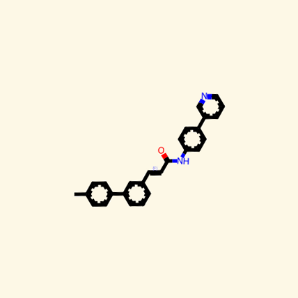 Cc1ccc(-c2cccc(/C=C/C(=O)Nc3ccc(-c4cccnc4)cc3)c2)cc1